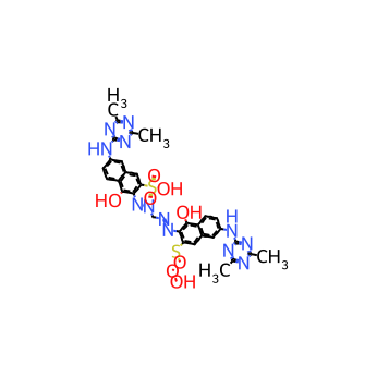 Cc1nc(C)nc(Nc2ccc3c(O)c(N=NCN=Nc4c(S(=O)(=O)O)cc5cc(Nc6nc(C)nc(C)n6)ccc5c4O)c(SOOO)cc3c2)n1